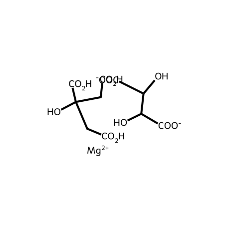 O=C(O)CC(O)(CC(=O)O)C(=O)O.O=C([O-])C(O)C(O)C(=O)[O-].[Mg+2]